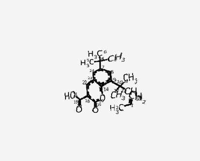 C=CC.CC(C)(C)c1cc(C(C)(C)C)c2oc(=O)c(C(=O)O)cc2c1